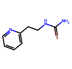 NC(=S)NCCc1ccccn1